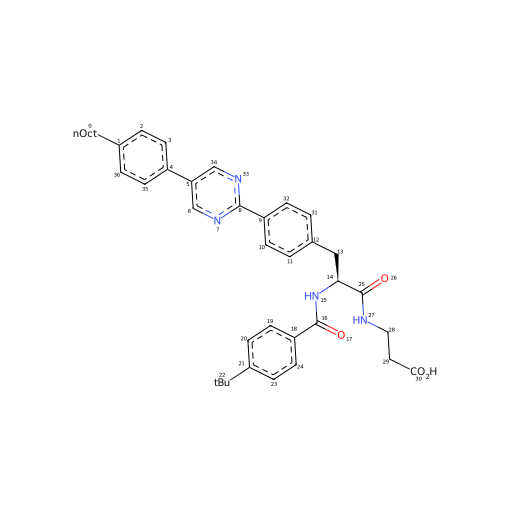 CCCCCCCCc1ccc(-c2cnc(-c3ccc(C[C@H](NC(=O)c4ccc(C(C)(C)C)cc4)C(=O)NCCC(=O)O)cc3)nc2)cc1